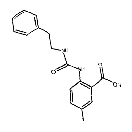 Cc1ccc(NC(=O)NCCc2ccccc2)c(C(=O)O)c1